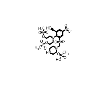 C#Cc1cc([N+](=O)[O-])cc(S(=O)(=O)CN2CCNCC2)c1N(CCOS(C)(=O)=O)CCOS(C)(=O)=O.CS(=O)(=O)O